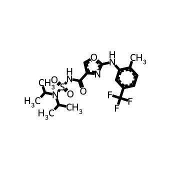 Cc1ccc(C(F)(F)F)cc1Nc1nc(C(=O)NS(=O)(=O)N(C(C)C)C(C)C)co1